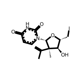 C=C(C)[C@]1(C)[C@H](O)[C@@H](CI)O[C@H]1n1ccc(=O)[nH]c1=O